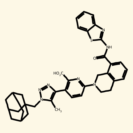 Cc1c(-c2ccc(N3CCc4cccc(C(=O)Nc5nc6ccccc6s5)c4C3)nc2C(=O)O)nnn1CC12CC3CC(CC(C3)C1)C2